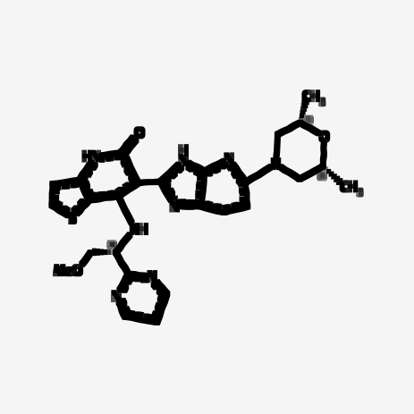 COC[C@H](Nc1c(-c2nc3ccc(N4C[C@@H](C)O[C@@H](C)C4)nc3[nH]2)c(=O)[nH]c2ccsc12)c1ncccn1